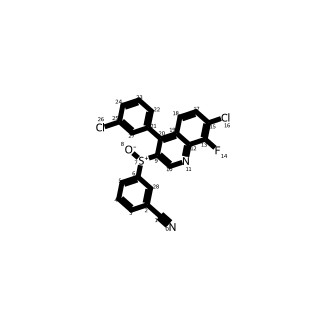 N#Cc1cccc([S+]([O-])c2cnc3c(F)c(Cl)ccc3c2-c2cccc(Cl)c2)c1